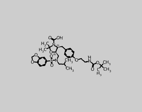 CC(C)CN(C[C@H]1OC(C)(C)N(C(=O)O)[C@H]1Cc1ccc(OCCNC(=O)OC(C)(C)C)cc1)S(=O)(=O)c1ccc2c(c1)OCO2